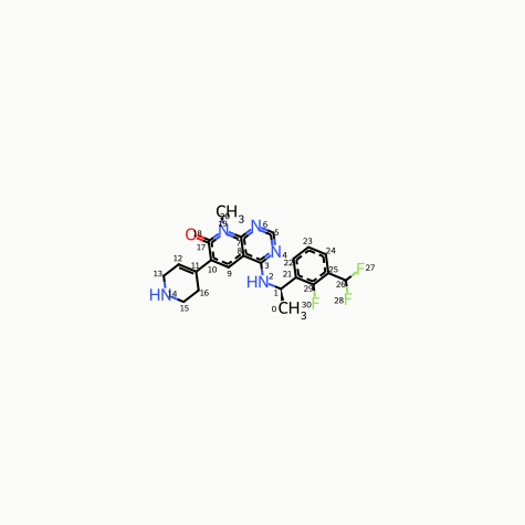 C[C@@H](Nc1ncnc2c1cc(C1=CCNCC1)c(=O)n2C)c1cccc(C(F)F)c1F